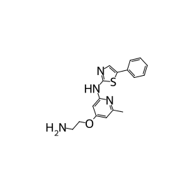 Cc1cc(OCCN)cc(Nc2ncc(-c3ccccc3)s2)n1